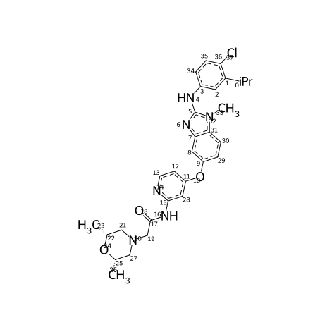 CC(C)c1cc(Nc2nc3cc(Oc4ccnc(NC(=O)CN5C[C@@H](C)O[C@@H](C)C5)c4)ccc3n2C)ccc1Cl